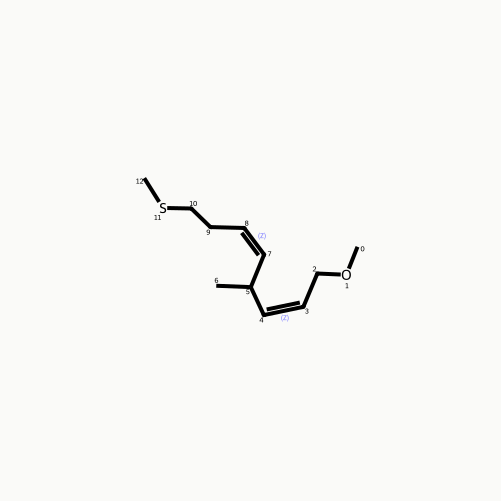 COC/C=C\C(C)/C=C\CCSC